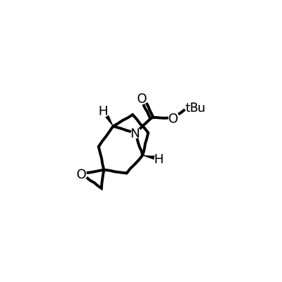 CC(C)(C)OC(=O)N1[C@@H]2CC[C@H]1CC1(CO1)C2